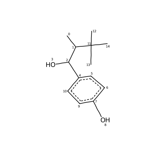 CC(C(O)c1ccc(O)cc1)C(C)(C)C